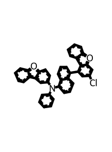 Clc1cc(-c2cccc3c(N(c4ccccc4)c4ccc5oc6ccccc6c5c4)cccc23)c2c(c1)oc1ccccc12